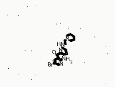 Nc1ncc(Br)cc1C(=O)c1cccc(NCCN2CCCCC2)n1